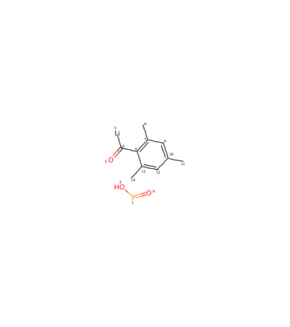 O=PO.[Li][C](=O)c1c(C)cc(C)cc1C